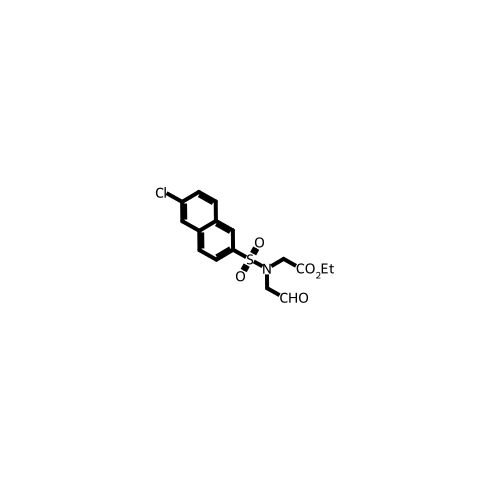 CCOC(=O)CN(CC=O)S(=O)(=O)c1ccc2cc(Cl)ccc2c1